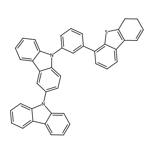 C1=Cc2c(sc3c(-c4cccc(-n5c6ccccc6c6cc(-n7c8ccccc8c8ccccc87)ccc65)c4)cccc23)CC1